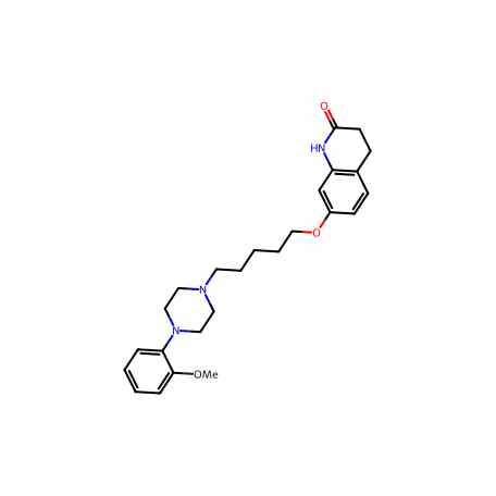 COc1ccccc1N1CCN(CCCCCOc2ccc3c(c2)NC(=O)CC3)CC1